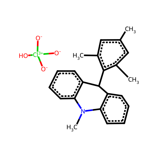 Cc1cc(C)c(C2c3ccccc3N(C)c3ccccc32)c(C)c1.[O-][Cl+3]([O-])([O-])O